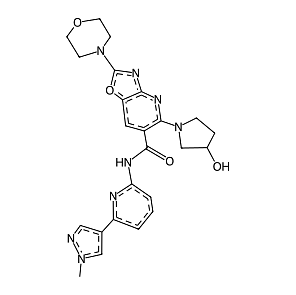 Cn1cc(-c2cccc(NC(=O)c3cc4oc(N5CCOCC5)nc4nc3N3CCC(O)C3)n2)cn1